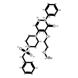 CCCCOCCOc1c(N2CCN(S(=O)(=O)Cc3ccccc3)CC2)cnn(-c2ccccc2)c1=O